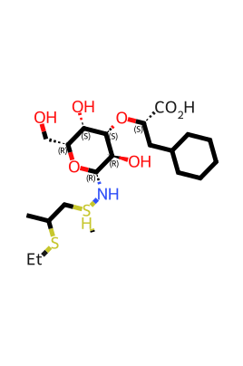 CCSC(C)C[SH](C)N[C@@H]1O[C@H](CO)[C@H](O)[C@H](O[C@@H](CC2CCCCC2)C(=O)O)[C@H]1O